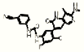 CNc1ncc2cc(-c3cc(NC(=O)Nc4cccc(C#N)c4)c(F)cc3Cl)c(=O)[nH]c2c1C